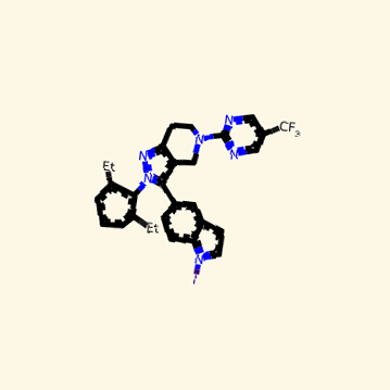 CCc1cccc(CC)c1-n1nc2c(c1-c1ccc3c(ccn3I)c1)CN(c1ncc(C(F)(F)F)cn1)CC2